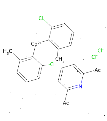 CC(=O)c1cccc(C(C)=O)n1.Cc1cccc(Cl)[c]1[Co+2][c]1c(C)cccc1Cl.[Cl-].[Cl-]